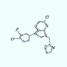 Fc1cc(-c2cn(Cc3ncco3)c3nc(Cl)ccc23)ccc1Cl